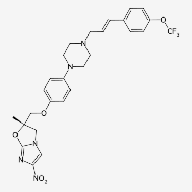 C[C@@]1(COc2ccc(N3CCN(CC=Cc4ccc(OC(F)(F)F)cc4)CC3)cc2)Cn2cc([N+](=O)[O-])nc2O1